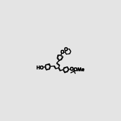 COC(C)(C)Oc1ccc(C=C(C=Cc2ccc(O)cc2)C=Cc2ccc(OC3CCCCO3)cc2)cc1